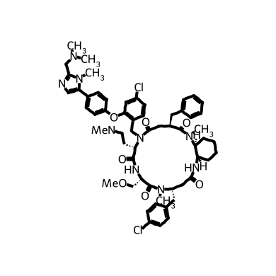 CNCC[C@H]1C(=O)N[C@@H](COC)C(=O)N(C)[C@@H](Cc2ccc(Cl)cc2)CC(=O)N[C@H]2CCCC[C@@H]2N(C)C(=O)[C@H](Cc2ccccc2)CC(=O)N1Cc1ccc(Cl)cc1Oc1ccc(-c2cnc(CN(C)C)n2C)cc1